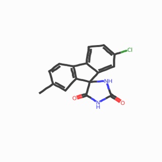 Cc1ccc2c(c1)C1(NC(=O)NC1=O)c1cc(Cl)ccc1-2